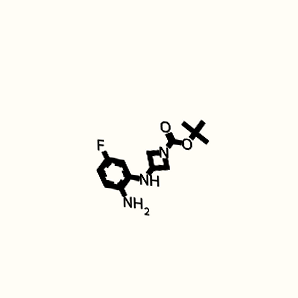 CC(C)(C)OC(=O)N1CC(Nc2cc(F)ccc2N)C1